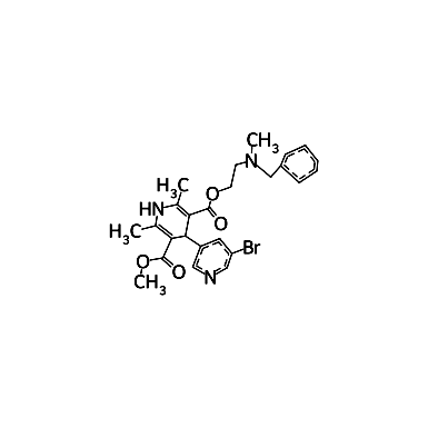 COC(=O)C1=C(C)NC(C)=C(C(=O)OCCN(C)Cc2ccccc2)C1c1cncc(Br)c1